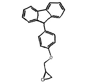 c1ccc2c(c1)-c1ccccc1C2c1ccc(OCC2CO2)cc1